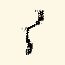 Cc1c(F)cc(OC(F)(F)c2c(F)cc(-c3ccc(OCCCCCCCC(C)CCCCCCCOc4ccc(-c5cc(F)c(C(F)(F)Oc6cc(F)c(C(F)(F)F)c(F)c6)c(F)c5)c(F)c4)cc3F)cc2F)cc1F